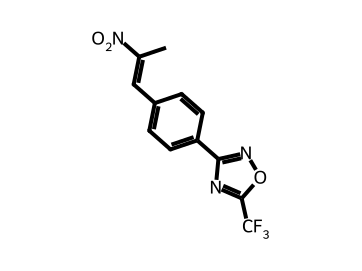 C/C(=C\c1ccc(-c2noc(C(F)(F)F)n2)cc1)[N+](=O)[O-]